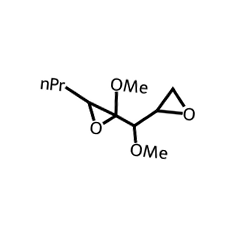 CCCC1OC1(OC)C(OC)C1CO1